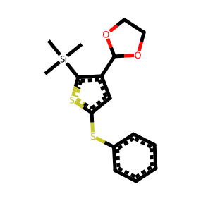 C[Si](C)(C)c1sc(Sc2ccccc2)cc1C1OCCO1